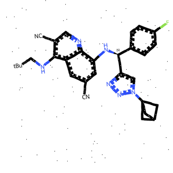 CC(C)(C)CNc1c(C#N)cnc2c(N[C@@H](c3ccc(F)cc3)c3cn(C45CC(C4)C5)nn3)cc(C#N)cc12